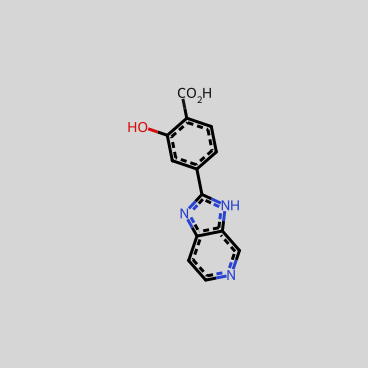 O=C(O)c1ccc(-c2nc3ccncc3[nH]2)cc1O